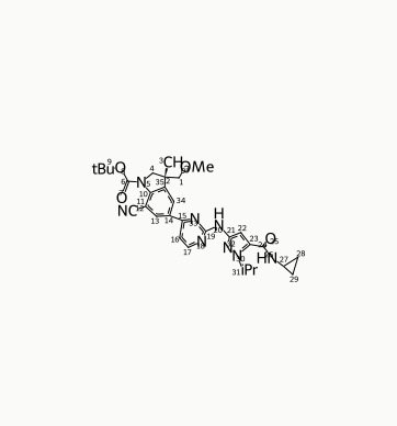 COC[C@@]1(C)CN(C(=O)OC(C)(C)C)c2c(C#N)cc(-c3ccnc(Nc4cc(C(=O)NC5CC5)n(C(C)C)n4)n3)cc21